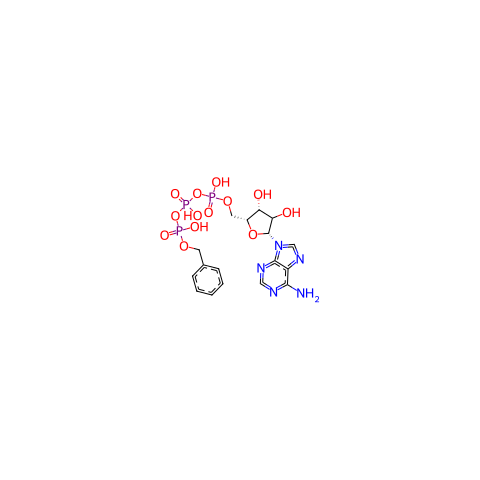 Nc1ncnc2c1ncn2[C@@H]1O[C@H](COP(=O)(O)OP(=O)(O)OP(=O)(O)OCc2ccccc2)[C@H](O)C1O